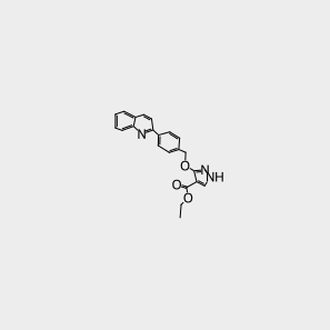 CCOC(=O)c1c[nH]nc1OCc1ccc(-c2ccc3ccccc3n2)cc1